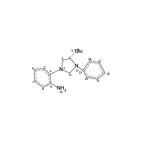 CC(C)(C)[C@H]1CN(c2ccccc2N)CN1c1ccccc1